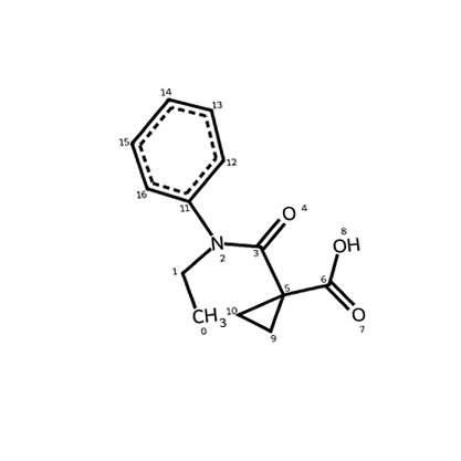 CCN(C(=O)C1(C(=O)O)CC1)c1ccccc1